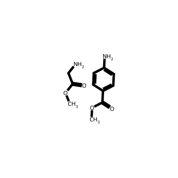 COC(=O)CN.COC(=O)c1ccc(N)cc1